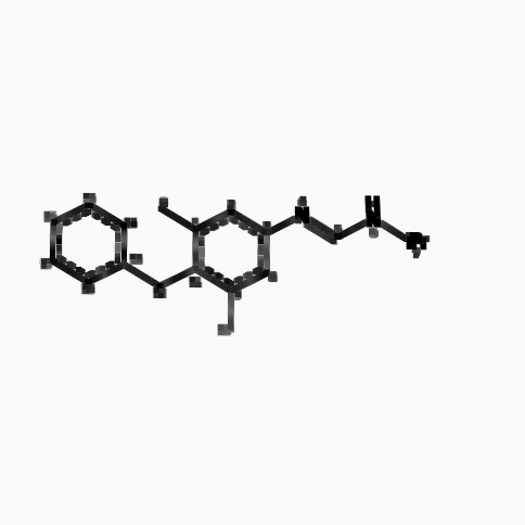 Cc1cc(N=CNC(C)C)cc(C)c1Cc1ccccc1